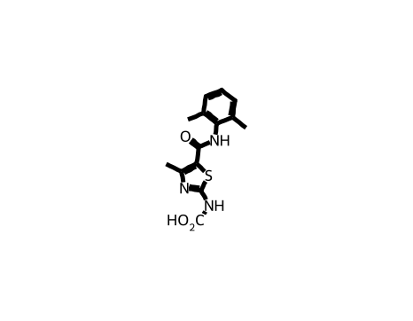 Cc1cccc(C)c1NC(=O)c1sc(NC(=O)O)nc1C